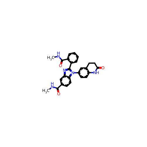 CNC(=O)c1ccc2c(c1)nc(-c1ccccc1C(=O)NC)n2-c1ccc2c(c1)CCC(=O)N2